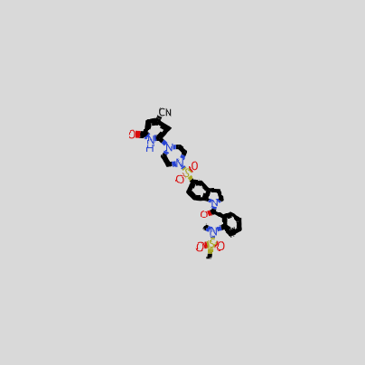 CN(c1ccccc1C(=O)N1CCc2cc(S(=O)(=O)N3CCN(c4cc(C#N)cc(=O)[nH]4)CC3)ccc21)S(C)(=O)=O